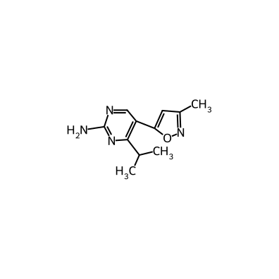 Cc1cc(-c2cnc(N)nc2C(C)C)on1